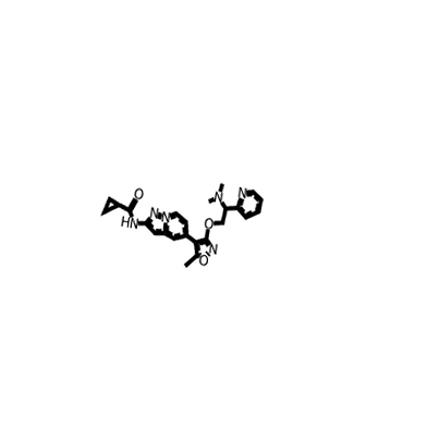 Cc1onc(OCC(c2ccccn2)N(C)C)c1-c1ccn2nc(NC(=O)C3CC3)cc2c1